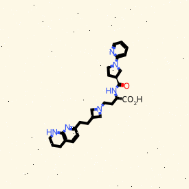 O=C(O)C(CCN1CC(CCc2ccc3c(n2)NCCC3)C1)NC(=O)[C@H]1CCN(c2ccccn2)C1